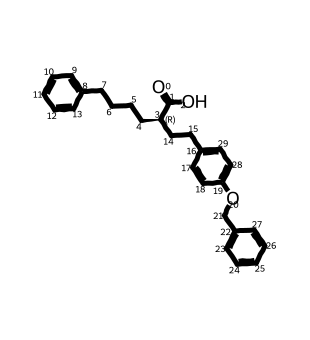 O=C(O)[C@H](CCCCc1ccccc1)CCc1ccc(OCc2ccccc2)cc1